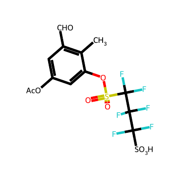 CC(=O)Oc1cc(C=O)c(C)c(OS(=O)(=O)C(F)(F)C(F)(F)C(F)(F)S(=O)(=O)O)c1